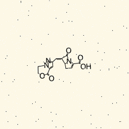 O=C(O)C1=CCC2/C(=C\c3cc4n(n3)CCOC4=O)C(=O)N12